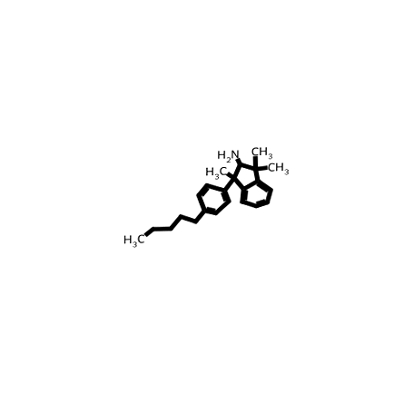 CCCCCc1ccc(C2(C)c3ccccc3C(C)(C)C2N)cc1